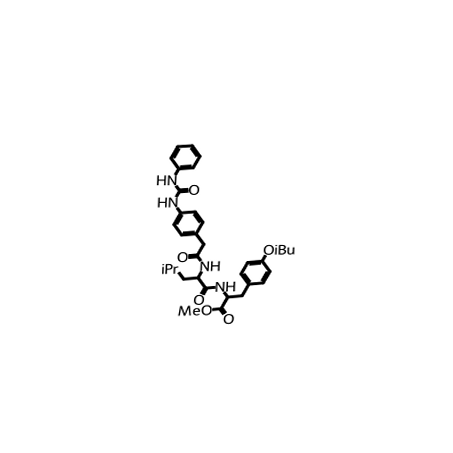 COC(=O)C(Cc1ccc(OCC(C)C)cc1)NC(=O)C(CC(C)C)NC(=O)Cc1ccc(NC(=O)Nc2ccccc2)cc1